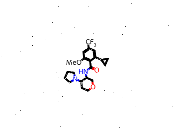 COc1cc(C(F)(F)F)cc(C2CC2)c1C(=O)NC1COCCC1N1CCCC1